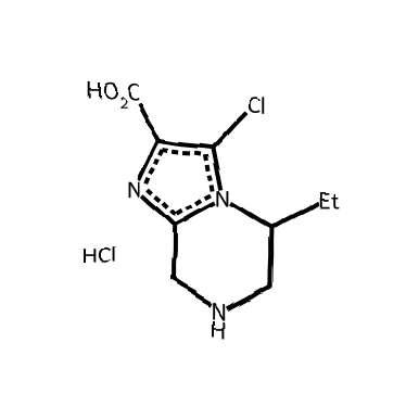 CCC1CNCc2nc(C(=O)O)c(Cl)n21.Cl